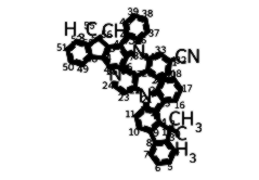 CC1(C)c2ccccc2-c2ccc3c(c21)c1ccccc1n3-c1ccncc1-c1ccc(C#N)cc1-n1c2ccccc2c2c3c(ccc21)-c1ccccc1C3(C)C